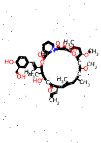 C=CC[C@@H]1/C=C(\C)C[C@H](C)C[C@H](OC)CC2O[C@@](O)(C(=O)C(=O)N3CCCC[C@H]3C(=O)O[C@H](/C(C)=C/[C@@H]3CC[C@@H](O)[C@H](CO)C3)[C@H](C)[C@@H](O)CC1=O)[C@H](C)C[C@@H]2OC